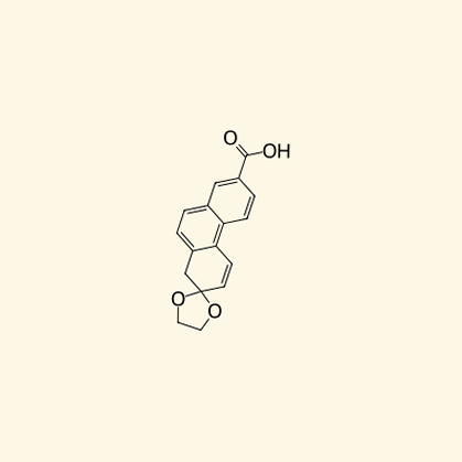 O=C(O)c1ccc2c3c(ccc2c1)CC1(C=C3)OCCO1